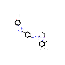 COc1ccc(N2C(=O)CCS/C2=N\N=C\c2ccc(-c3ncn(-c4ccc(OC(F)(F)F)cc4)n3)cc2)c(C)c1